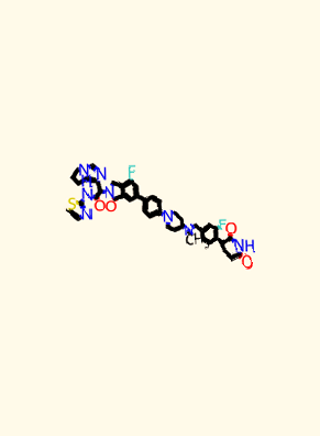 CN(Cc1ccc(C2CCC(=O)NC2=O)c(F)c1)C1CCN(c2ccc(-c3cc(F)c4c(c3)C(=O)N(C(C(=O)Nc3nccs3)c3ncn5c3CCC5)C4)cc2)CC1